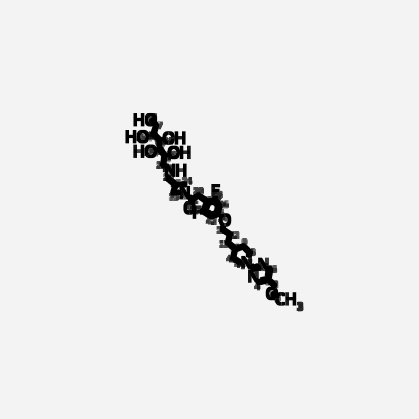 COCc1cnc(N2CCC(CCCOc3cc(F)c(CC(=O)N4CC(CNC[C@H](O)[C@@H](O)[C@H](O)[C@H](O)CO)C4)c(F)c3)CC2)nc1